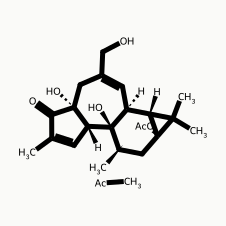 CC(=O)O[C@@]12C[C@@H](C)[C@@]3(O)[C@@H](C=C(CO)C[C@]4(O)C(=O)C(C)=C[C@@H]34)[C@@H]1C2(C)C.CC(C)=O